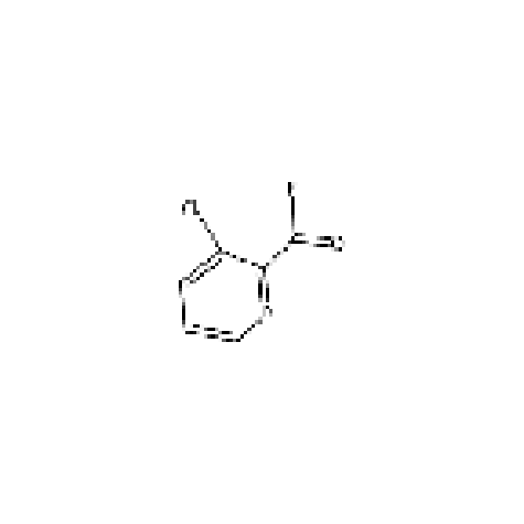 O=C(F)c1ncccc1Cl